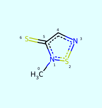 Cn1sncc1=S